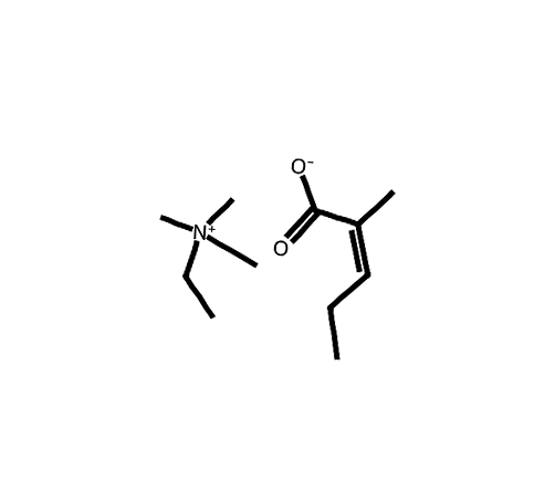 CCC=C(C)C(=O)[O-].CC[N+](C)(C)C